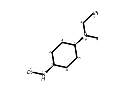 CCN[C@H]1CC[C@@H](N(C)CC(C)C)CC1